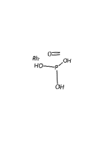 C=O.OP(O)O.[Rh]